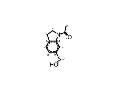 CC(=O)N1CCc2ccc(SO)cc21